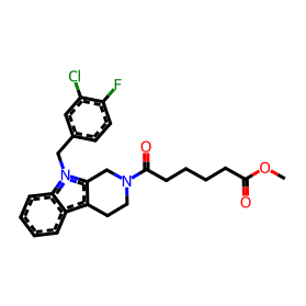 COC(=O)CCCCC(=O)N1CCc2c(n(Cc3ccc(F)c(Cl)c3)c3ccccc23)C1